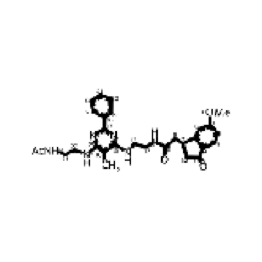 COc1ccc2c(c1)C(CC(=O)NCCNc1nc(-c3ccccc3)nc(NCCNC(C)=O)c1C)CC2=O